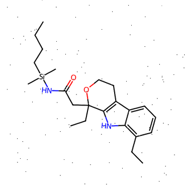 CCCC[Si](C)(C)NC(=O)CC1(CC)OCCc2c1[nH]c1c(CC)cccc21